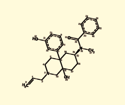 C=CCN1CCC2(c3cccc(O)c3)C[C@@H](N(C)C(=O)c3ccccc3)CCC2(O)C1